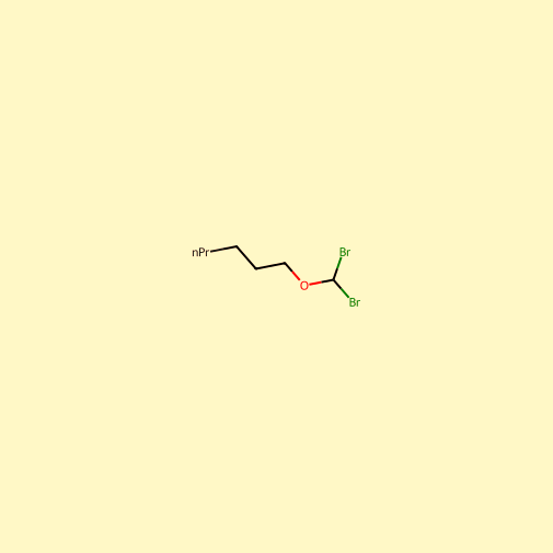 CCCCCCOC(Br)Br